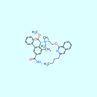 CCCCc1cc2ccccc2c(OCC[N+](C)(C)[C@@H](C(=O)OC)c2c(C)cc(C(N)=O)cc2-c2ccccc2)n1